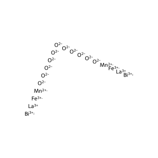 [Bi+3].[Bi+3].[Fe+3].[Fe+3].[La+3].[La+3].[Mn+2].[Mn+2].[O-2].[O-2].[O-2].[O-2].[O-2].[O-2].[O-2].[O-2].[O-2].[O-2].[O-2]